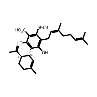 C=C(C)[C@@H]1CCC(C)=C[C@H]1c1c(O)c(CC=C(C)CCC=C(C)C)c(CCCCC)c(C(=O)O)c1O